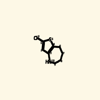 Clc1cc2c(s1)CCCCN2